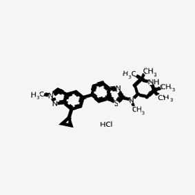 CN(c1nc2ccc(-c3cc(C4CC4)c4nn(C)cc4c3)cc2s1)C1CC(C)(C)NC(C)(C)C1.Cl